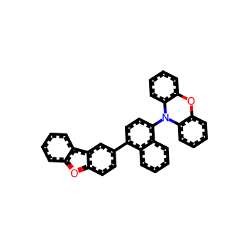 c1ccc2c(c1)Oc1ccccc1N2c1ccc(-c2ccc3oc4ccccc4c3c2)c2ccccc12